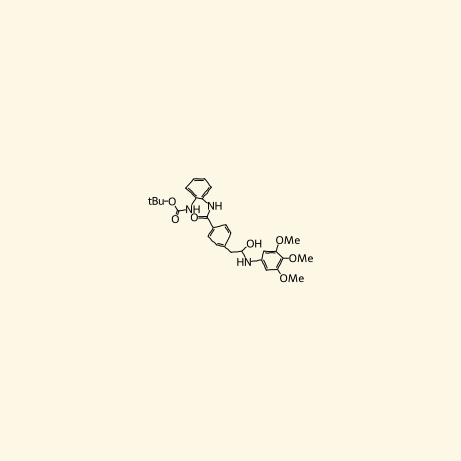 COc1cc(NC(O)Cc2ccc(C(=O)Nc3ccccc3NC(=O)OC(C)(C)C)cc2)cc(OC)c1OC